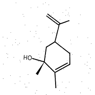 C=C(C)C1CC=C(C)[C@](C)(O)C1